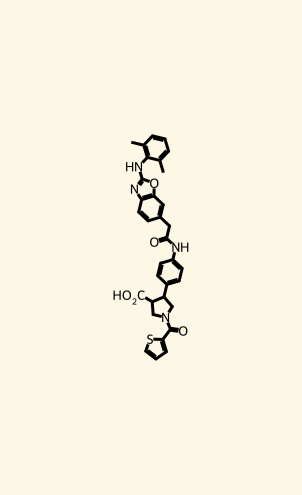 Cc1cccc(C)c1Nc1nc2ccc(CC(=O)Nc3ccc(C4CN(C(=O)c5cccs5)CC4C(=O)O)cc3)cc2o1